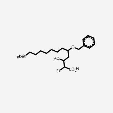 CCCCCCCCCCCCCCCCCC(CC(O)C(CC)C(=O)O)OCc1ccccc1